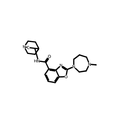 CN1CCCN(c2nc3c(C(=O)NC4CN5CCC4CC5)cccc3o2)CC1